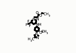 CCOC(=O)c1cn2cc(C(F)(F)F)cc(Nc3ccc(-n4cnc(C)c4)c(OC)c3)c2n1